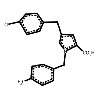 O=C(O)c1cc(Cc2ccc(Cl)cc2)cn1Cc1ccc(C(F)(F)F)cc1